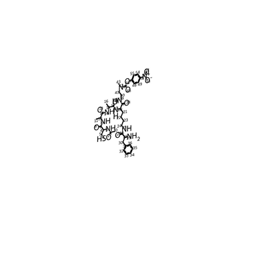 CC(=O)NC(CS)C(=O)NC(C)C(=O)NC(C)C(=O)NC(CCCCNC(=O)C(N)Cc1ccccc1)C(=O)NCCN(C)C(=O)Oc1ccc([N+](=O)[O-])cc1